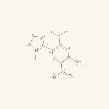 CC(C)c1cc(N)c(C(=O)O)cc1-c1ccnn1C